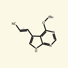 CC(C)(C)Oc1ncnc2[nH]cc(/C=C/C#N)c12